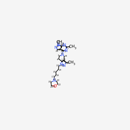 Cc1nc(N2CCc3c(c(C)nn3CCCCCN3CCOCC3)C2)c2cnn(C)c2n1